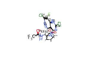 CC(C)(C)OC(=O)N1C2CCC1(CNC(=O)C(F)(F)F)CN(c1nc(Cl)nc3c(F)c(Cl)ncc13)C2